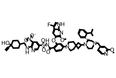 C#CC1(O)CCC(CNc2ncc(S(=O)(=O)NC(=O)c3ccc(N4CCC5(CC4)CC(N4CCN(Cc6ccnc(OC)c6)C[C@H]4c4ccccc4C(C)C)C5)cc3Oc3cc4c(F)c[nH]c4nc3OC)cc2[N+](=O)[O-])CC1